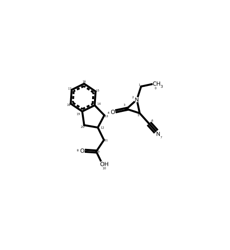 CCN1C(=O)C1C#N.O=C(O)CC1Cc2ccccc2C1